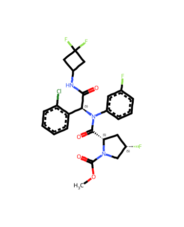 COC(=O)N1C[C@@H](F)C[C@H]1C(=O)N(c1cccc(F)c1)[C@H](C(=O)NC1CC(F)(F)C1)c1ccccc1Cl